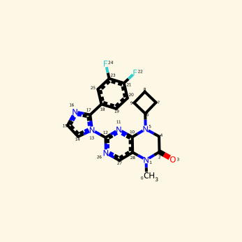 CN1C(=O)CN(C2CCC2)c2nc(-n3ccnc3-c3ccc(F)c(F)c3)ncc21